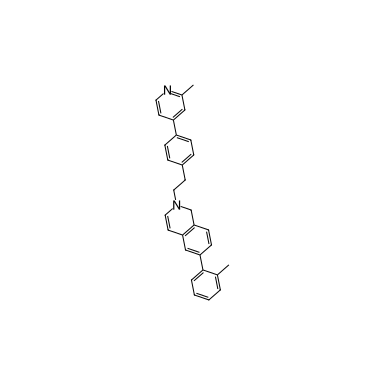 Cc1cc(-c2ccc(CCN3C=Cc4cc(-c5ccccc5C)ccc4C3)cc2)ccn1